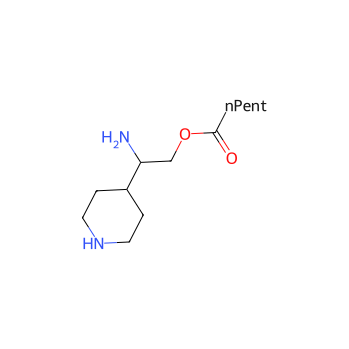 CCCCCC(=O)OCC(N)C1CCNCC1